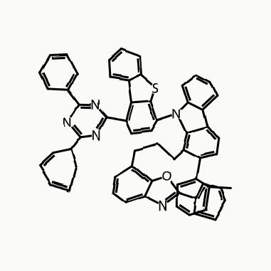 Cc1ccccc1-c1ccc2c3ccccc3n(-c3ccc(-c4nc(-c5ccccc5)nc(C5C=CC=CC5)n4)c4c3sc3ccccc34)c2c1CCCc1cccc2nc(-c3ccccc3)oc12